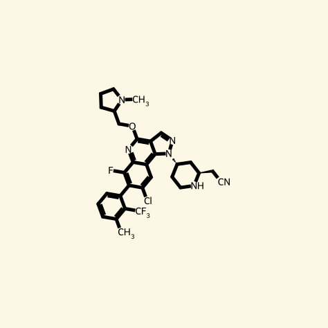 Cc1cccc(-c2c(Cl)cc3c(nc(OCC4CCCN4C)c4cnn([C@H]5CCN[C@H](CC#N)C5)c43)c2F)c1C(F)(F)F